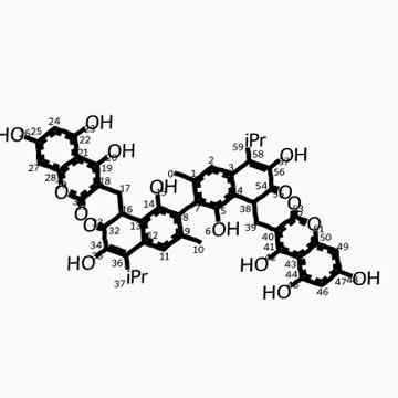 Cc1cc2c(c(O)c1-c1c(C)cc3c(c1O)C(Cc1c(O)c4c(O)cc(O)cc4oc1=O)C(=O)C(O)=C3C(C)C)C(Cc1c(O)c3c(O)cc(O)cc3oc1=O)C(=O)C(O)=C2C(C)C